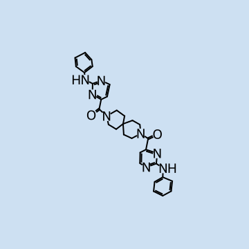 O=C(c1ccnc(Nc2ccccc2)n1)N1CCC2(CC1)CCN(C(=O)c1ccnc(Nc3ccccc3)n1)CC2